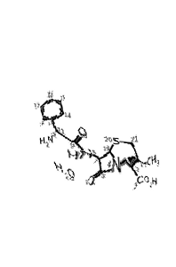 CC1=C(C(=O)O)N2C(=O)C(NC(=O)[C@H](N)c3ccccc3)C2SC1.O